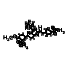 COCc1ccc(-c2ccc3nc(NCc4ccc(S(N)(=O)=O)cc4)nc(NC4(C(F)(F)F)CC4)c3n2)cc1S(C)(=O)=O